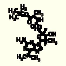 C[C@H](N[PH](=O)OC[C@@]1(F)O[C@@H](n2cnc3c(N(C)C)nc(N)nc32)[C@](C)(F)[C@@H]1O)C(=O)OCC(C)(C)C